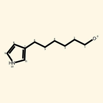 [O]CCCCCCc1cc[nH]c1